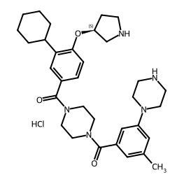 Cc1cc(C(=O)N2CCN(C(=O)c3ccc(O[C@H]4CCNC4)c(C4CCCCC4)c3)CC2)cc(N2CCNCC2)c1.Cl